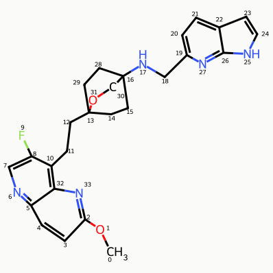 COc1ccc2ncc(F)c(CCC34CCC(NCc5ccc6cc[nH]c6n5)(CC3)CO4)c2n1